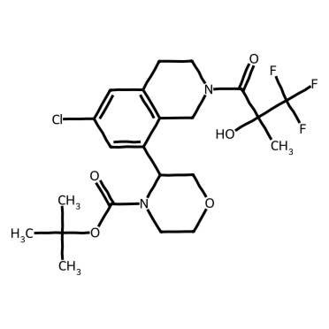 CC(C)(C)OC(=O)N1CCOCC1c1cc(Cl)cc2c1CN(C(=O)C(C)(O)C(F)(F)F)CC2